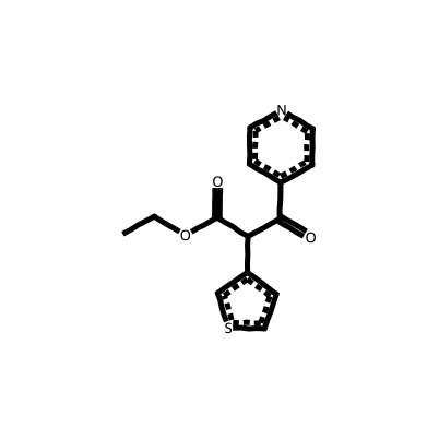 CCOC(=O)C(C(=O)c1ccncc1)c1ccsc1